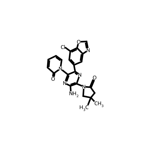 CC1(C)CC(=O)N(c2nc(-c3cc(Cl)c4ocnc4c3)c(-n3ccccc3=O)nc2N)C1